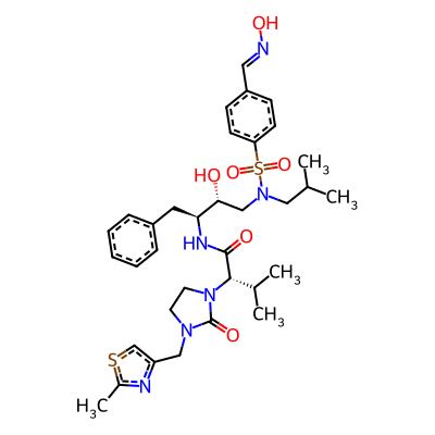 Cc1nc(CN2CCN([C@H](C(=O)N[C@@H](Cc3ccccc3)[C@H](O)CN(CC(C)C)S(=O)(=O)c3ccc(C=NO)cc3)C(C)C)C2=O)cs1